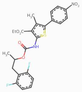 CCOC(=O)c1c(NC(=O)OC(C)Cc2c(F)cccc2F)sc(-c2ccc([N+](=O)[O-])cc2)c1C